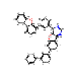 c1ccc(-c2cccc(-c3ccc4c(c3)oc3c(-c5cccc(-c6cccc7c6oc6ccccc67)c5)ncnc34)c2)cc1